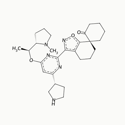 C[C@H](Oc1cc([C@@H]2CCNC2)nc(-c2noc3c2CCC[C@@]32CCCCC2=O)n1)[C@@H]1CCCN1C